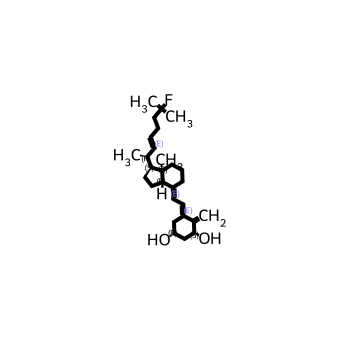 C=C1/C(=C/C=C2\CCC[C@@]3(C)[C@H]2CC[C@H]3[C@H](C)/C=C/CCC(C)(C)F)C[C@@H](O)C[C@@H]1O